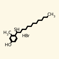 Br.CCCCCCCCCCCCC(S)c1ccc(O)cc1C